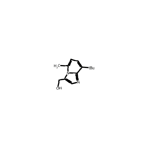 Cc1ccc(C(C)(C)C)c2ncc(CO)n12